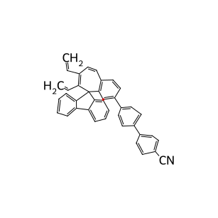 C=CC1=C(C=C)C2(c3cc(-c4ccc(-c5ccc(C#N)cc5)cc4)ccc3C=C1)c1ccccc1-c1ccccc12